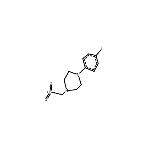 O=[SH](=O)CN1CCN(c2ccc(F)cc2)CC1